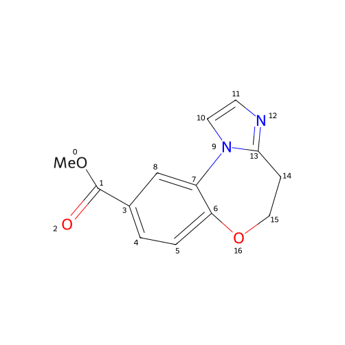 COC(=O)c1ccc2c(c1)-n1ccnc1CCO2